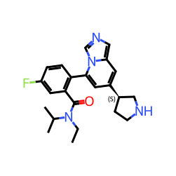 CCN(C(=O)c1cc(F)ccc1-c1cc([C@@H]2CCNC2)cc2cncn12)C(C)C